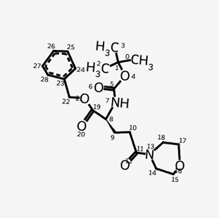 CC(C)(C)OC(=O)N[C@@H](CCC(=O)N1CCOCC1)C(=O)OCc1ccccc1